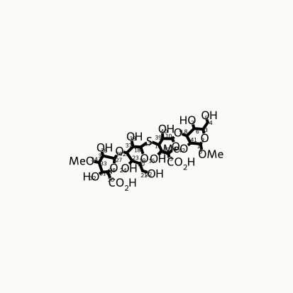 COC1OC(CO)C(O)C(OC2OC(C(=O)O)C(O)C(SC3OC(CO)C(O)C(OC4OC(C(=O)O)C(O)C(OC)C4O)C3O)C2O)C1OC